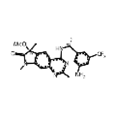 CO[C@]1(C)C(=O)N(C)c2cc3nc(C)nc(N[C@H](C)c4cc(N)cc(C(F)(F)F)c4)c3cc21